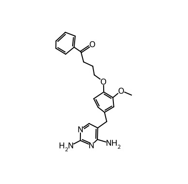 COc1cc(Cc2cnc(N)nc2N)ccc1OCCCC(=O)c1ccccc1